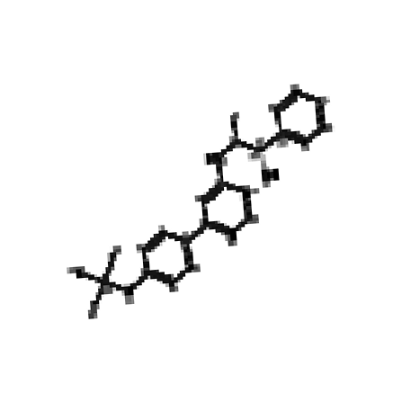 CC(Nc1cc(-c2ccc(OC(F)(F)F)cc2)ncn1)[C@@H](O)c1ccccc1